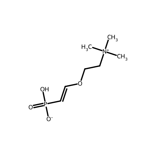 C[N+](C)(C)CCOC=CP(=O)([O-])O